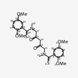 COc1ccc(OC)c(C(=S)N(C)CC(=O)CC(=O)CN(C)C(=S)c2cc(OC)ccc2OC)c1